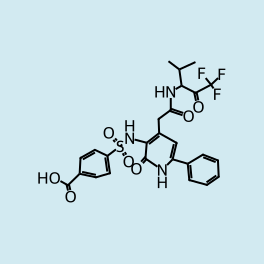 CC(C)C(NC(=O)Cc1cc(-c2ccccc2)[nH]c(=O)c1NS(=O)(=O)c1ccc(C(=O)O)cc1)C(=O)C(F)(F)F